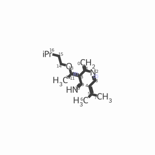 C=C(/N=C\C=C(C)C)/C(C=N)=C(/C)OCCC(C)C